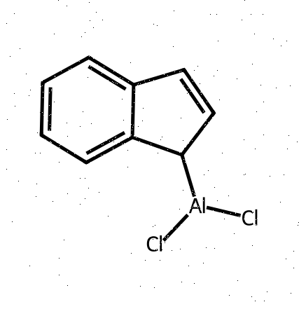 [Cl][Al]([Cl])[CH]1C=Cc2ccccc21